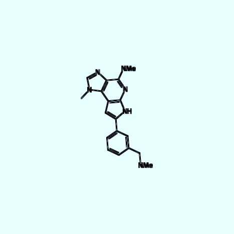 CNCc1cccc(-c2cc3c(nc(NC)c4ncn(C)c43)[nH]2)c1